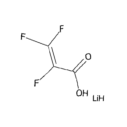 O=C(O)C(F)=C(F)F.[LiH]